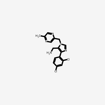 Cc1cnc(Cn2cnc(-c3ccc(Cl)cc3Cl)c2CN)cn1